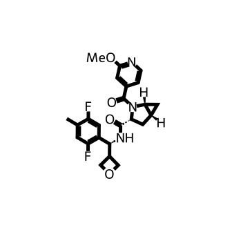 COc1cc(C(=O)N2[C@@H](C(=O)N[C@@H](c3cc(F)c(C)cc3F)C3COC3)C[C@H]3C[C@H]32)ccn1